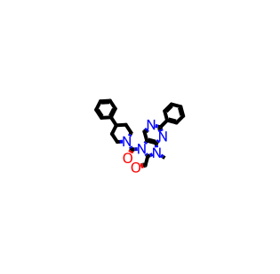 CN1c2nc(-c3ccccc3)ncc2N(C(=O)N2CCC(c3ccccc3)CC2)C1C=O